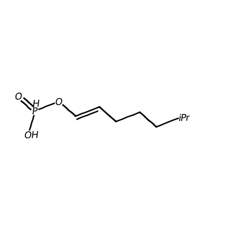 CC(C)CCCC=CO[PH](=O)O